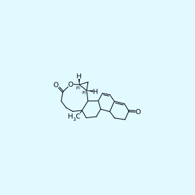 CC12CCCC(=O)O[C@@H]3C[C@@H]3C1C1C=CC3=CC(=O)CCC3C1CC2